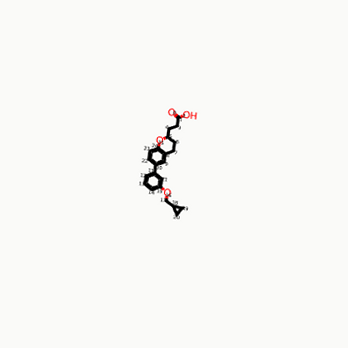 O=C(O)CCC1CCc2cc(-c3cccc(OCC4CC4)c3)ccc2O1